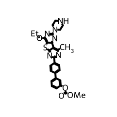 CCOc1nc(N2CCNCC2)nc2c1sc1nc(-c3ccc(-c4cccc(OC(=O)OC)c4)cc3)nc(C)c12